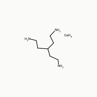 NCC[C](CCN)CCN.[GeH4]